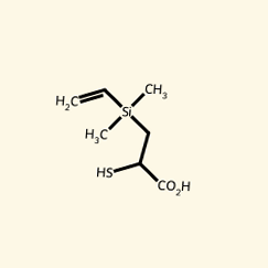 C=C[Si](C)(C)CC(S)C(=O)O